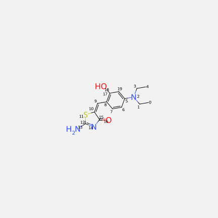 CCN(CC)c1ccc(C=C2SC(N)=NC2=O)c(O)c1